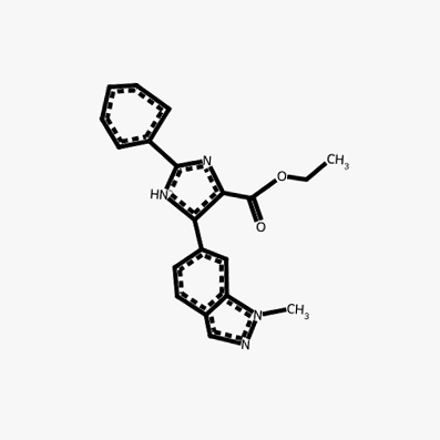 CCOC(=O)c1nc(-c2ccccc2)[nH]c1-c1ccc2cnn(C)c2c1